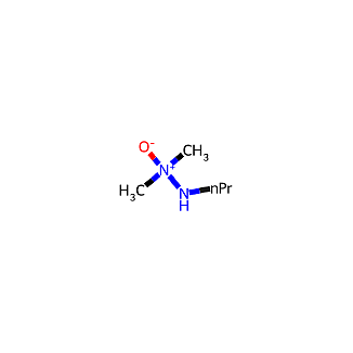 CCCN[N+](C)(C)[O-]